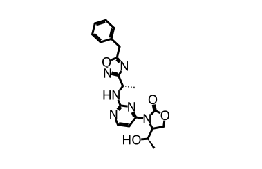 C[C@H](Nc1nccc(N2C(=O)OCC2[C@@H](C)O)n1)c1noc(Cc2ccccc2)n1